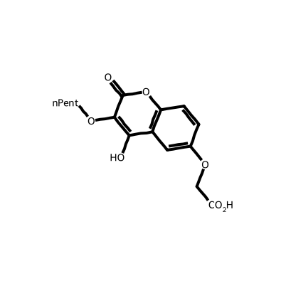 CCCCCOc1c(O)c2cc(OCC(=O)O)ccc2oc1=O